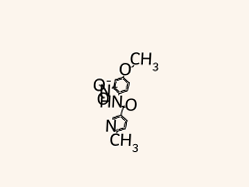 CCOc1ccc(NC(=O)c2ccc(C)nc2)c([N+](=O)[O-])c1